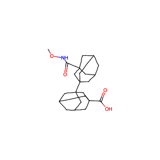 CONC(=O)C12CC3CC(C1)CC(C14CC5CC(CC(C(=O)O)(C5)C1)C4)(C3)C2